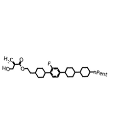 C=C(CO)C(=O)OCCC1CCC(c2ccc(C3CCC(C4CCC(CCCCC)CC4)CC3)cc2F)CC1